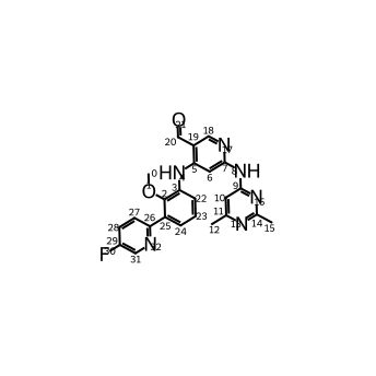 COc1c(Nc2cc(Nc3cc(C)nc(C)n3)ncc2C=O)cccc1-c1ccc(F)cn1